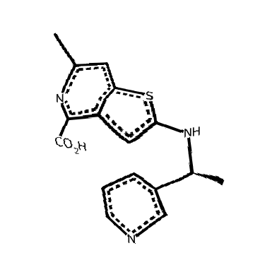 Cc1cc2sc(N[C@@H](C)c3cccnc3)cc2c(C(=O)O)n1